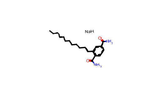 CCCCCCCCCCCCc1cc(C(N)=O)ccc1C(N)=O.[NaH]